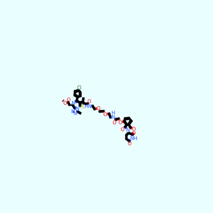 COC(=O)C[C@H]1N=C(c2ccc(Cl)cc2)c2c(sc(C(=O)NCCOCCOCCNC(=O)COc3cccc4c3C(=O)N(C3CCC(=O)NC3=O)C4=O)c2C)-n2c(C)nnc21